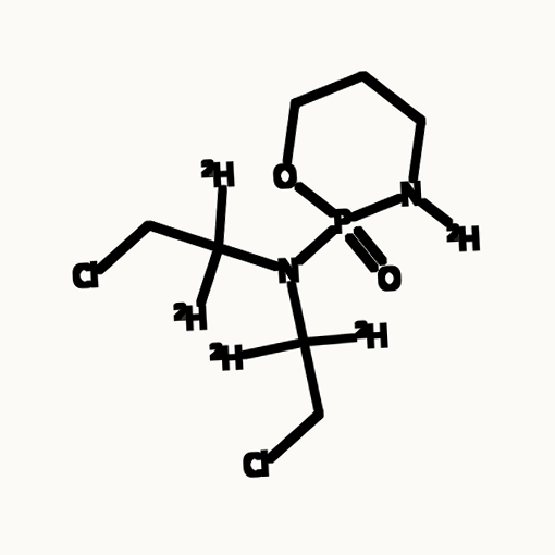 [2H]N1CCCOP1(=O)N(C([2H])([2H])CCl)C([2H])([2H])CCl